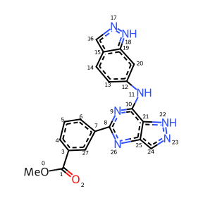 COC(=O)c1cccc(-c2nc(Nc3ccc4cn[nH]c4c3)c3[nH]ncc3n2)c1